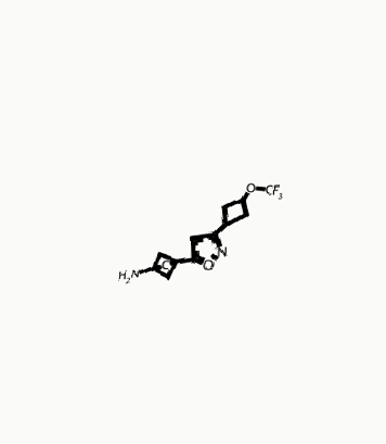 NC12CC(c3cc(C4CC(OC(F)(F)F)C4)no3)(C1)C2